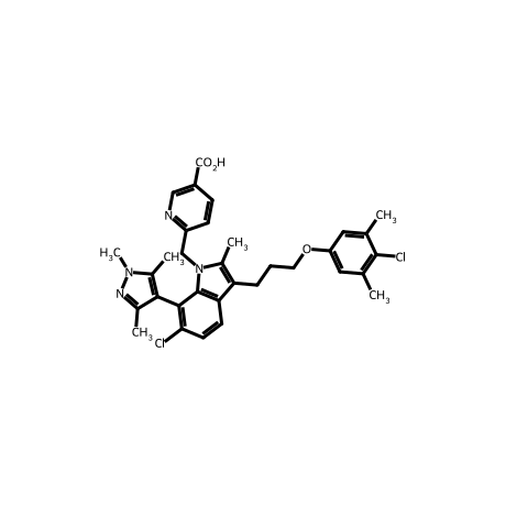 Cc1cc(OCCCc2c(C)n(Cc3ccc(C(=O)O)cn3)c3c(-c4c(C)nn(C)c4C)c(Cl)ccc23)cc(C)c1Cl